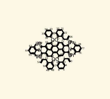 C=CCc1ccccc1OC1=CC2=C3C(=CC(Oc4ccccc4CC=C)=C4c5c(Oc6ccccc6)cc6c7c5C(=C1C34)C(Oc1ccccc1CC=C)C=C7C(=O)N(c1c(C(C)C)cccc1C(C)C)C6=O)C(=O)N(c1c(C(C)C)cccc1C(C)C)C2=O